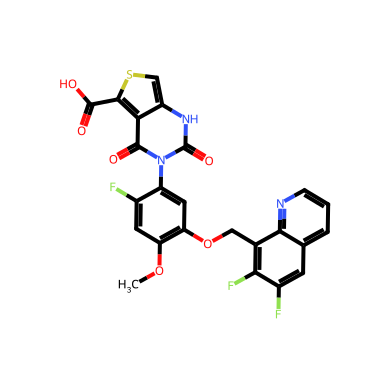 COc1cc(F)c(-n2c(=O)[nH]c3csc(C(=O)O)c3c2=O)cc1OCc1c(F)c(F)cc2cccnc12